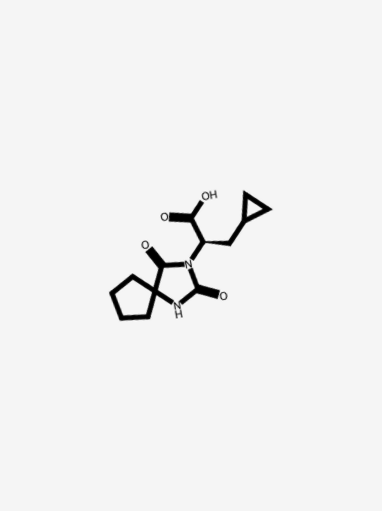 O=C(O)[C@@H](CC1CC1)N1C(=O)NC2(CCCC2)C1=O